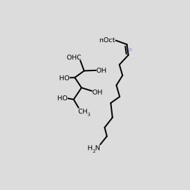 CC(O)C(O)C(O)C(O)C=O.CCCCCCCC/C=C\CCCCCCCCN